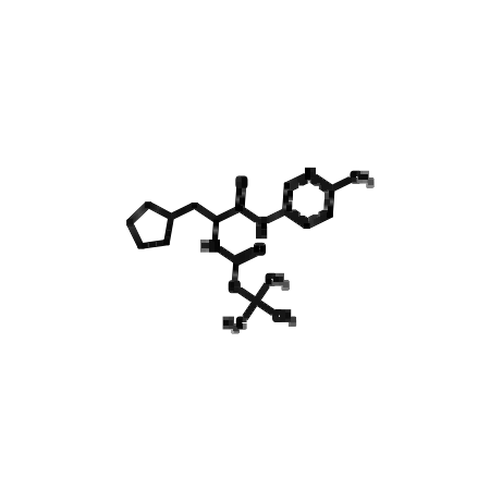 Cc1ccc(NC(=O)C(CC2CCCC2)NC(=O)OC(C)(C)C)cn1